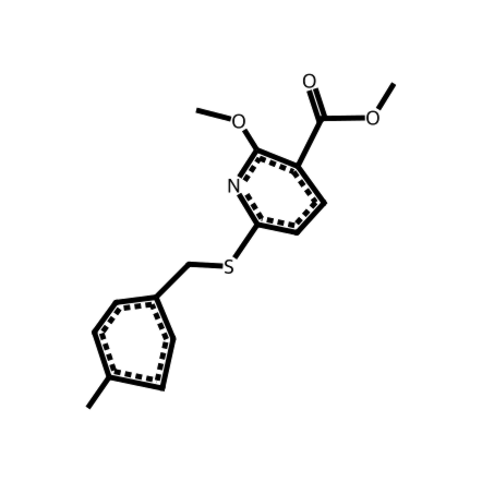 COC(=O)c1ccc(SCc2ccc(C)cc2)nc1OC